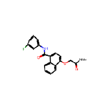 CNC(=O)COc1ccc(C(=O)Nc2cccc(F)c2)c2ccccc12